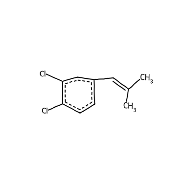 CC(C)=Cc1ccc(Cl)c(Cl)c1